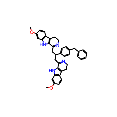 COc1ccc2c3c([nH]c2c1)C(CC(CC1=NCCc2c1[nH]c1cc(OC)ccc21)c1ccc(Cc2ccccc2)cc1)=NCC3